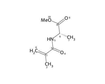 C=C(C)C(=O)N[C@@H](C)C(=O)OC